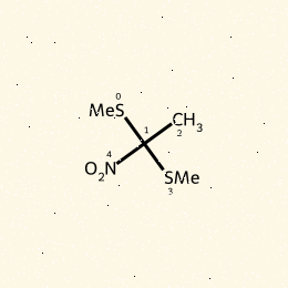 CSC(C)(SC)[N+](=O)[O-]